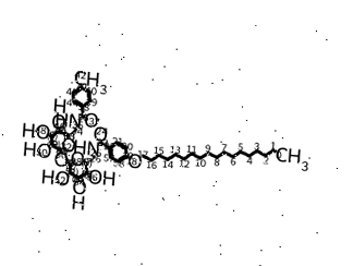 CCCCCCCCCCCCCCCCCCOc1ccc(C(=O)NC[C@H]2O[C@H](O[C@H]3O[C@H](CNC(=O)c4ccc(C)cc4)[C@@H](O)[C@H](O)[C@H]3O)[C@H](O)[C@@H](O)[C@@H]2O)cc1